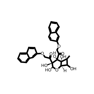 CC1C(O)[C@H]2O[C@@H](O)[C@](O)(C(=O)COc3ccc4ccccc4c3)[C@](O)(C(=O)COc3ccc4ccccc4c3)[C@@]12O